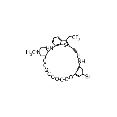 CN1CCC2Nc3cccc4c(CC(F)(F)F)c(sc34)C#CCNc3cc(Br)cc(c3)OCCOCCOCCC2C1